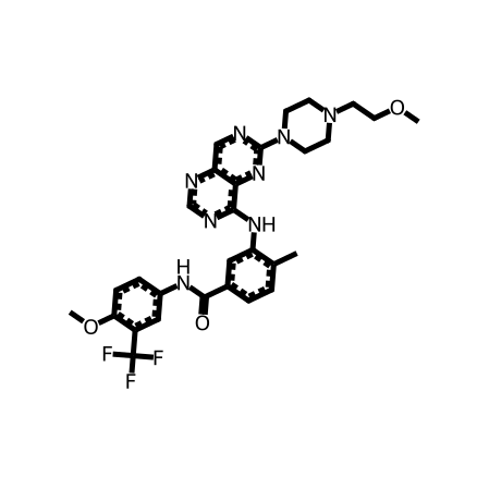 COCCN1CCN(c2ncc3ncnc(Nc4cc(C(=O)Nc5ccc(OC)c(C(F)(F)F)c5)ccc4C)c3n2)CC1